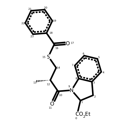 CCOC(=O)C1Cc2ccccc2N1C(=O)[C@H](C)CSC(=O)c1ccccc1